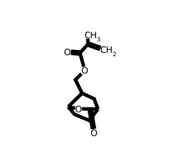 C=C(C)C(=O)OCC1CC2CCC1OC2=O